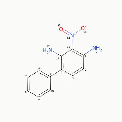 Nc1ccc(-c2ccccc2)c(N)c1[N+](=O)[O-]